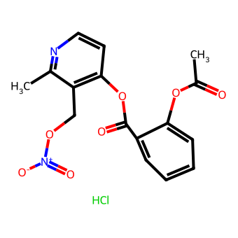 CC(=O)Oc1ccccc1C(=O)Oc1ccnc(C)c1CO[N+](=O)[O-].Cl